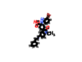 CN1C(=O)C2(CCC(Nc3cccc(Br)c3)(C(=O)O)CC2)c2cc(/C=C/Cc3ccccc3)ccc21